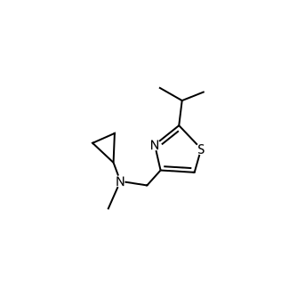 CC(C)c1nc(CN(C)C2CC2)cs1